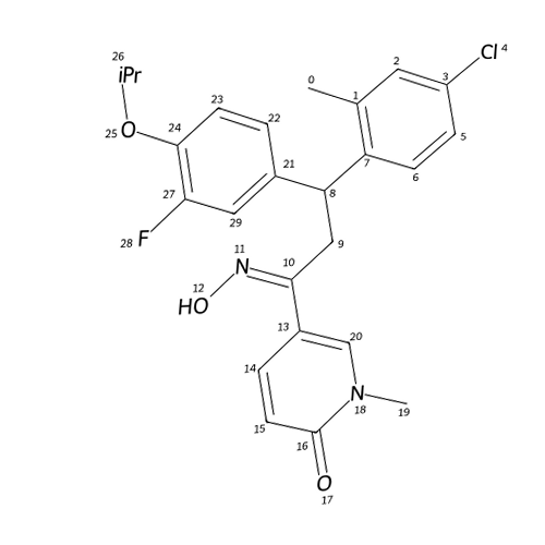 Cc1cc(Cl)ccc1C(CC(=NO)c1ccc(=O)n(C)c1)c1ccc(OC(C)C)c(F)c1